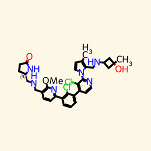 COc1nc(-c2cccc(-c3ccnc(-n4ccc(C)c4CNC4CC(C)(O)C4)c3Cl)c2Cl)ccc1CNC[C@H]1CCC(=O)N1